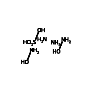 N.N.NO.NO.O=S(=O)(O)O